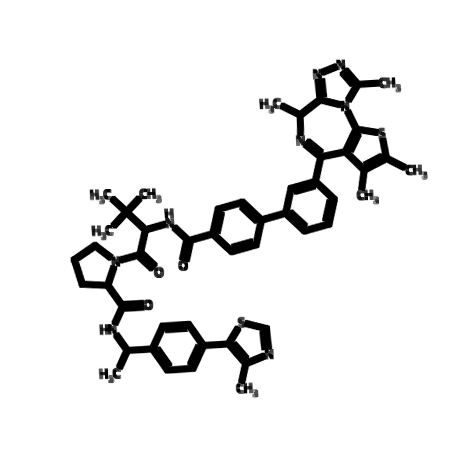 Cc1ncsc1-c1ccc(C(C)NC(=O)C2CCCN2C(=O)C(NC(=O)c2ccc(-c3cccc(C4=NC(C)c5nnc(C)n5-c5sc(C)c(C)c54)c3)cc2)C(C)(C)C)cc1